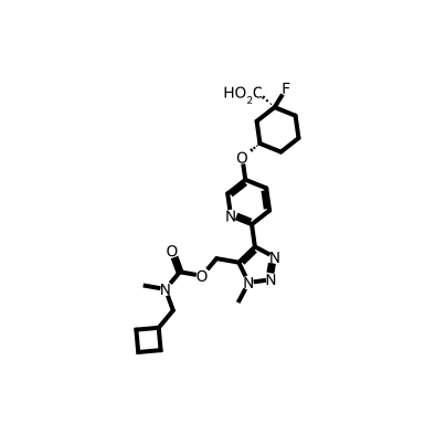 CN(CC1CCC1)C(=O)OCc1c(-c2ccc(O[C@H]3CCC[C@@](F)(C(=O)O)C3)cn2)nnn1C